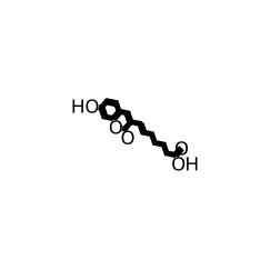 O=C(O)CCCCC=Cc1cc2ccc(O)cc2oc1=O